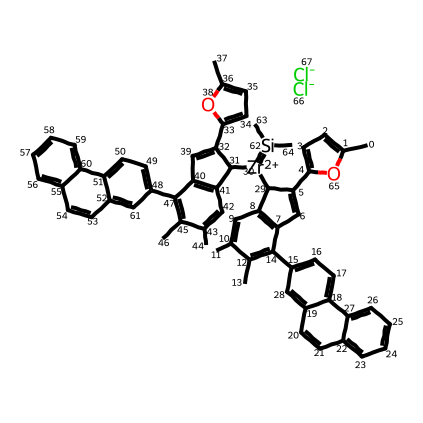 Cc1ccc(C2=Cc3c(cc(C)c(C)c3-c3ccc4c(ccc5ccccc54)c3)[CH]2[Zr+2]([CH]2C(c3ccc(C)o3)=Cc3c2cc(C)c(C)c3-c2ccc3c(ccc4ccccc43)c2)=[Si](C)C)o1.[Cl-].[Cl-]